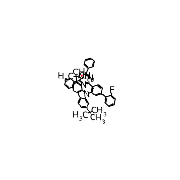 CC(C)(C)c1ccc2c3ccc(C(C)(C)C)cc3n(-c3cc(-c4ccccc4F)ccc3-c3nc(-c4ccccc4)nc(-c4ccccc4)n3)c2c1